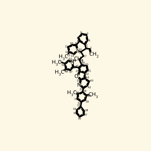 C=CC1c2ccccc2-c2ccc(C)c[n+]2C1CCc1ccc2c(oc3nc(-c4c(C)cc(-c5ccccc5)cc4C)ccc32)c1-c1cc(C)c(C)c[n+]1C